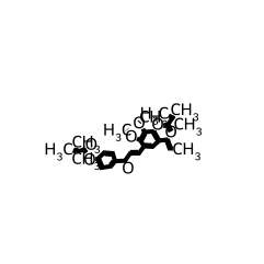 CC=Cc1cc(C=CC(=O)c2ccc(OC(=O)C(C)(C)C)cc2)c(OC)c(OC)c1OC(=O)C(C)(C)C